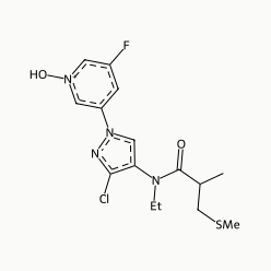 CCN(C(=O)C(C)CSC)c1cn(-c2cc(F)c[n+](O)c2)nc1Cl